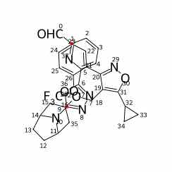 O=Cc1cccc(-c2nnc(N3C4CCC3CC(OCc3c(-c5ccccc5OC(F)(F)F)noc3C3CC3)C4)o2)n1